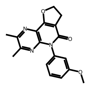 COc1cccc(-n2c(=O)c3c(c4nc(C)c(C)nc42)OCC3)c1